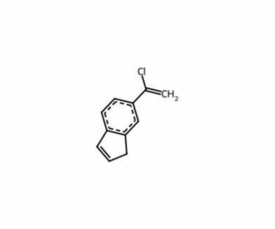 C=C(Cl)c1ccc2c(c1)CC=C2